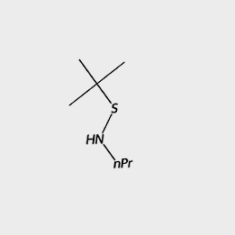 CCCNSC(C)(C)C